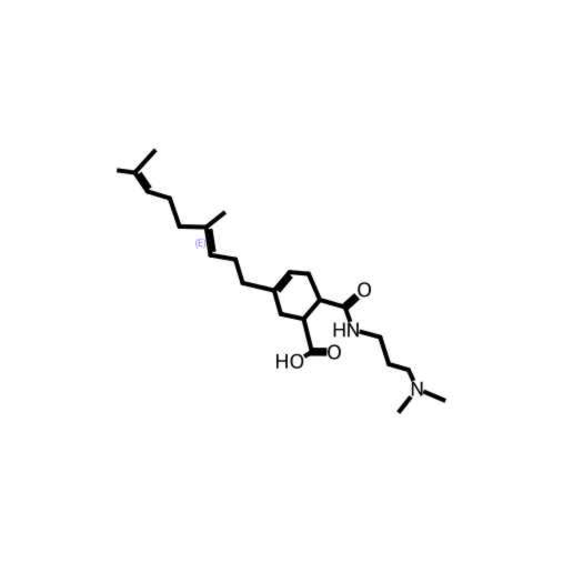 CC(C)=CCC/C(C)=C/CCC1=CCC(C(=O)NCCCN(C)C)C(C(=O)O)C1